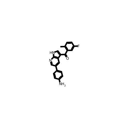 Cc1ccc(F)cc1C(=O)c1c[nH]c2ncc(-c3ccc(N)cc3)cc12